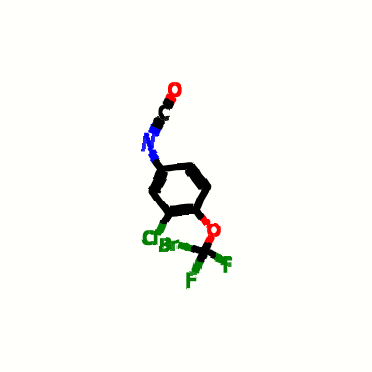 O=C=Nc1ccc(OC(F)(F)Br)c(Cl)c1